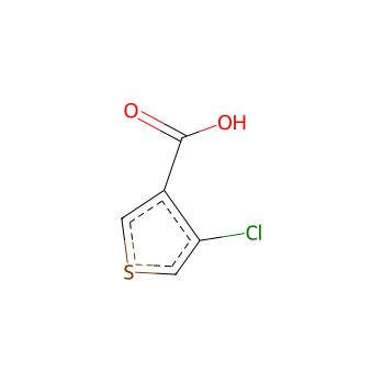 O=C(O)c1cscc1Cl